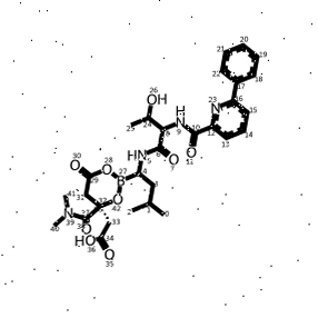 CC(C)CC(NC(=O)C(NC(=O)c1cccc(-c2ccccc2)n1)C(C)O)B1OC(=O)C[C@](CC(=O)O)(C(=O)N(C)C)O1